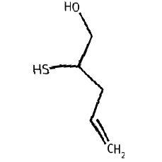 C=CCC(S)CO